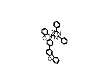 c1ccc(-c2nc(-c3ccccc3)nc(N3c4ccccc4Oc4cc(-c5ccc6oc7ccccc7c6c5)ccc43)n2)cc1